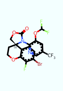 O=C1OC[C@@]2(CCOc3c2ccc(Br)c3F)N1c1ncc(C(F)(F)F)cc1OC(F)F